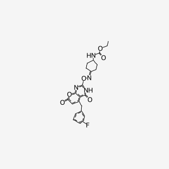 CCOC(=O)NC1CCC(=NOc2nc3oc(=O)cc(Cc4cccc(F)c4)c3c(=O)[nH]2)CC1